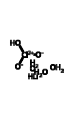 O.O.O.[LiH].[O-][Cl+2]([O-])O